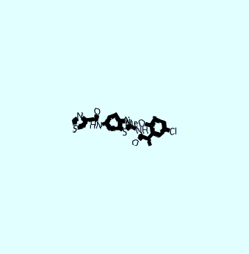 COc1ccc(Cl)cc1C(C)C(=O)Nc1nc2ccc(NC(=O)c3cscn3)cc2s1